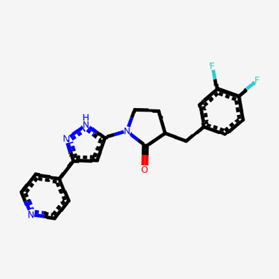 O=C1C(Cc2ccc(F)c(F)c2)CCN1c1cc(-c2ccncc2)n[nH]1